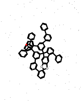 c1ccc(-c2cccc(-c3cc(-c4cccc(-c5ccccc5)c4)cc(C4(c5cc(-c6cccc(-c7ccccc7)c6)cc(-c6cccc(-c7ccccc7)c6)c5)c5cc6c(cc5-c5c(-c7ccccc7)cccc54)OCO6)c3)c2)cc1